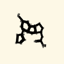 O=C(O)CC1CCn2c1cc1c(C3=C=CC=C3)cc(F)cc12